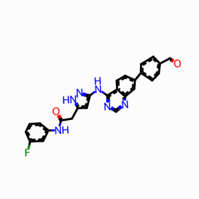 O=Cc1ccc(-c2ccc3c(Nc4cc(CC(=O)Nc5cccc(F)c5)[nH]n4)ncnc3c2)cc1